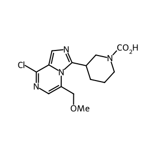 COCc1cnc(Cl)c2cnc(C3CCCN(C(=O)O)C3)n12